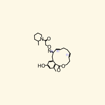 Cc1cc(O)cc2c1C(=O)OCC/C=C/CC/C=C/C(=N\OCC(=O)N1CCCCC1C)C2